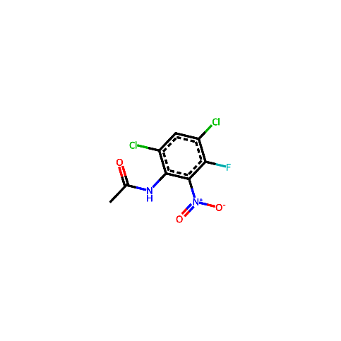 CC(=O)Nc1c(Cl)cc(Cl)c(F)c1[N+](=O)[O-]